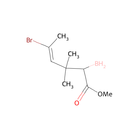 BC(C(=O)OC)C(C)(C)/C=C(\C)Br